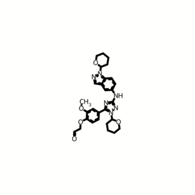 COc1cc(-c2nc(Nc3ccc4c(cnn4C4CCCCO4)c3)nn2C2CCCCO2)ccc1OCC=O